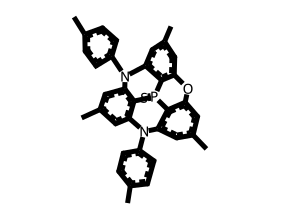 Cc1ccc(N2c3cc(C)cc4c3P3(=S)c5c(cc(C)cc5N(c5ccc(C)cc5)c5cc(C)cc2c53)O4)cc1